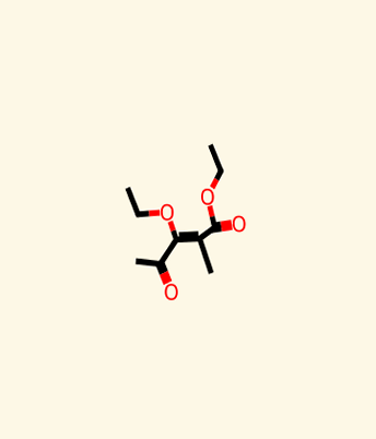 CCOC(=O)C(C)=C(OCC)C(C)=O